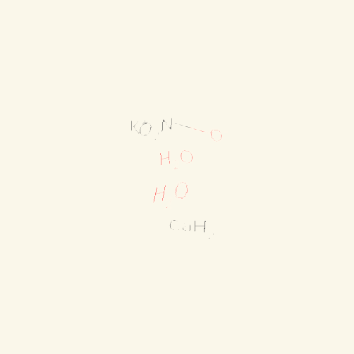 O.O.O=[N+]([O-])[O-].[CaH2].[K+]